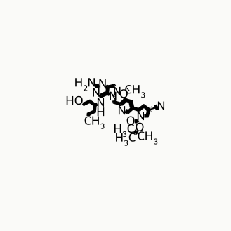 CCCC(CCO)Nc1nc(N)nc2cnn(Cc3ncc(C4C[C@@H](C#N)CN4C(=O)OC(C)(C)C)cc3OC)c12